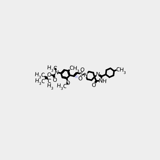 COc1cc(N(C)C(=O)OC(C)(C)C)cc(C)c1/C=C/S(=O)(=O)N1CCC2(CC1)N=C(C1CCC(C)CC1)NC2=O